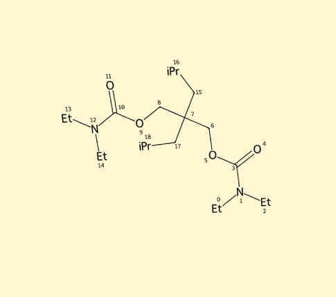 CCN(CC)C(=O)OCC(COC(=O)N(CC)CC)(CC(C)C)CC(C)C